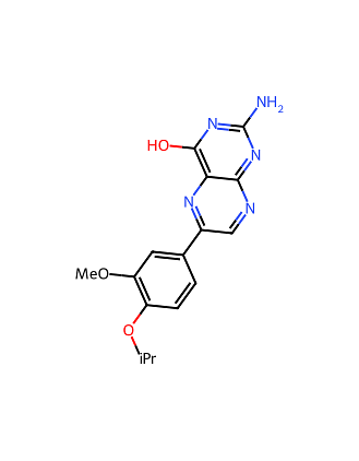 COc1cc(-c2cnc3nc(N)nc(O)c3n2)ccc1OC(C)C